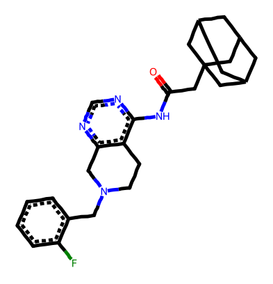 O=C(CC12CC3CC(CC(C3)C1)C2)Nc1ncnc2c1CCN(Cc1ccccc1F)C2